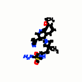 COc1cccc2c(N3CC(C)(CCNS(N)(=O)=O)C3)c(C#N)cnc12